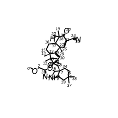 COCC1=NNC([C@]2(CCC(C)(C)[C@]3(C)CC[C@H]4C(C)(C)C(=O)C(C#N)=C[C@]4(C)/C3=C/C(C)=O)CCC(C)(C)CC2C)O1